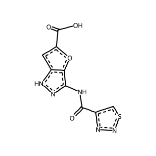 O=C(Nc1n[nH]c2cc(C(=O)O)oc12)c1csnn1